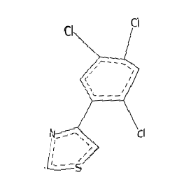 Clc1cc(Cl)c(-c2cs[c]n2)cc1Cl